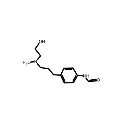 CN(CCO)CCCc1ccc(NC=O)cc1